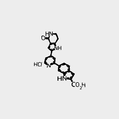 Cl.O=C(O)c1cc2ccc(-c3cc(-c4cc5c([nH]4)CCNC5=O)ccn3)cc2[nH]1